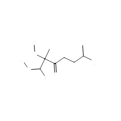 [CH2]CC(OCC)C(C)(OCC)C(=O)CCC(C)C=O